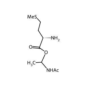 CSCC[C@H](N)C(=O)OC(C)NC(C)=O